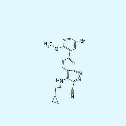 COc1ccc(Br)cc1-c1ccc2c(NCCC3CC3)c(C#N)nnc2c1